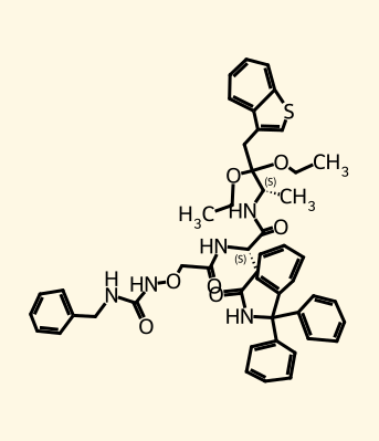 CCOC(Cc1csc2ccccc12)(OCC)[C@H](C)NC(=O)[C@H](CC(=O)NC(c1ccccc1)(c1ccccc1)c1ccccc1)NC(=O)CONC(=O)NCc1ccccc1